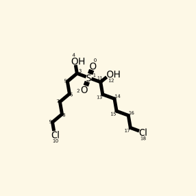 O=S(=O)(C(O)CCCCCCl)C(O)CCCCCCl